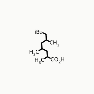 CCC(C)CC(C)CC(C)CC(C)C(=O)O